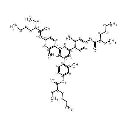 CCCCC(CC)C(=O)Oc1ccc(-c2nc(-c3ccc(OC(=O)C(CC)CCCC)cc3O)nc(-c3ccc(OC(=O)C(CC)CCCC)cc3O)n2)c(O)c1